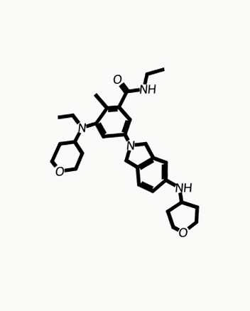 CCNC(=O)c1cc(N2Cc3ccc(NC4CCOCC4)cc3C2)cc(N(CC)C2CCOCC2)c1C